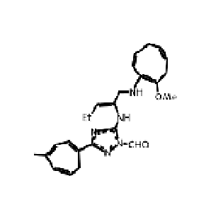 CC/C=C(/CNC1=C(\OC)C/C=C\C/C=C\1)Nc1nc(C2=CC=C(C)C=CC2)nn1C=O